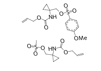 C=CCOC(=O)NC1(COS(=O)(=O)c2ccc(OC)cc2)CC1.C=CCOC(=O)NC1(COS(C)(=O)=O)CC1